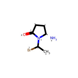 CC(Br)N1CCCC1=O.N